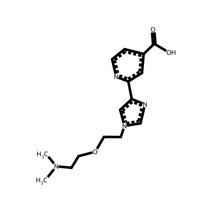 CN(C)CCOCCn1cnc(-c2cc(C(=O)O)ccn2)c1